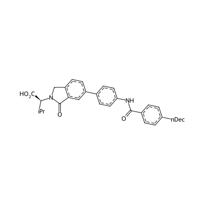 CCCCCCCCCCc1ccc(C(=O)Nc2ccc(-c3ccc4c(c3)C(=O)N([C@H](C(=O)O)C(C)C)C4)cc2)cc1